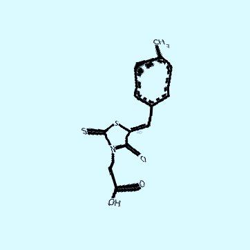 Cc1ccc(/C=C2\SC(=S)N(CC(=O)O)C2=O)cc1